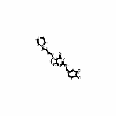 O=C1N=C(NCc2ccc(Cl)c(Cl)c2)N=C2N=NN(CCCCN3CCOCC3)C12